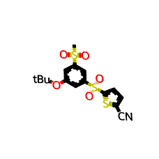 CC(C)(C)Oc1cc(S(C)(=O)=O)cc(S(=O)(=O)c2ccc(C#N)s2)c1